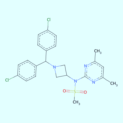 Cc1cc(C)nc(N(C2CN(C(c3ccc(Cl)cc3)c3ccc(Cl)cc3)C2)S(C)(=O)=O)n1